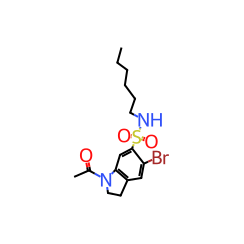 CCCCCCNS(=O)(=O)c1cc2c(cc1Br)CCN2C(C)=O